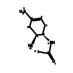 BC1=CC[C@H](NC(=O)I)[C@@H](S)C1